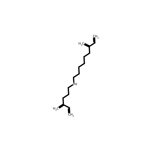 C=CC(=C)CCCCCCPCCCC(=C)C=C